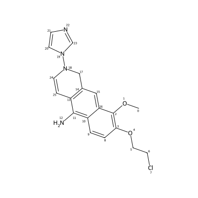 COc1c(OCCCl)ccc2c(N)c3c(cc12)CN(n1ccnc1)C=C3